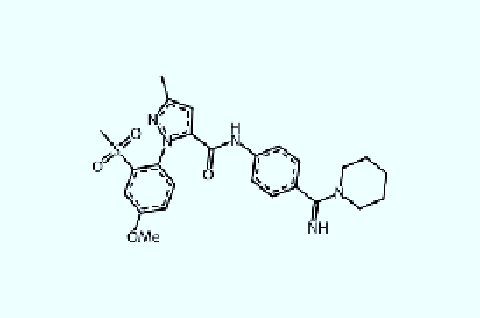 COc1ccc(-n2nc(C)cc2C(=O)Nc2ccc(C(=N)N3CCCCC3)cc2)c(S(C)(=O)=O)c1